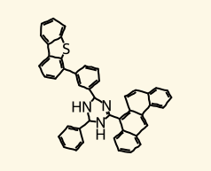 c1ccc(C2NC(c3c4ccccc4cc4c3ccc3ccccc34)=NC(c3cccc(-c4cccc5c4sc4ccccc45)c3)N2)cc1